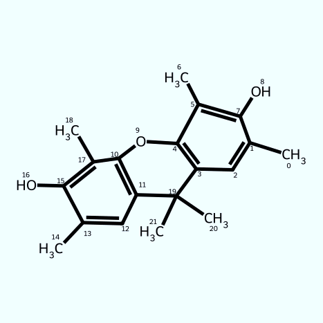 Cc1cc2c(c(C)c1O)Oc1c(cc(C)c(O)c1C)C2(C)C